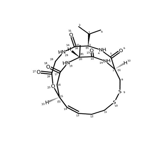 CC(C)[C@H]1NC(=O)[C@H]2CSSCCC=C[C@H](CC(=O)N[C@H](C)C(=O)N2)OC(=O)CNC1=O